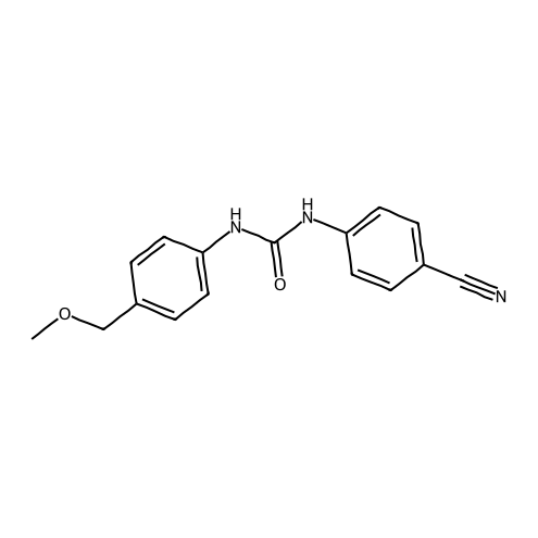 COCc1ccc(NC(=O)Nc2ccc(C#N)cc2)cc1